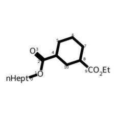 CCCCCCCOC(=O)C1CCCC(C(=O)OCC)C1